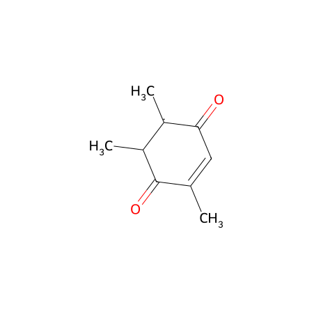 C[C]1C(=O)C=C(C)C(=O)C1C